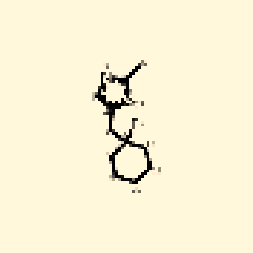 Cc1ncc(CC2(F)CCCCC2)s1